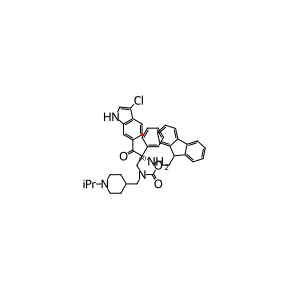 CC(C)N1CCC(CN(C[C@@](N)(C(=O)c2ccc3c(Cl)c[nH]c3c2)c2ccccc2)C(=O)OCC2c3ccccc3-c3ccccc32)CC1